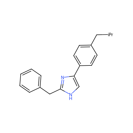 CC(C)Cc1ccc(-c2c[nH]c(Cc3ccccc3)n2)cc1